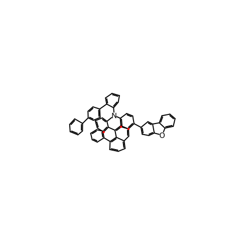 c1ccc(-c2ccc(-c3ccccc3N(c3ccc(-c4ccc5oc6ccccc6c5c4)cc3)c3ccccc3-c3cccc4cccc(-c5ccccc5)c34)cc2)cc1